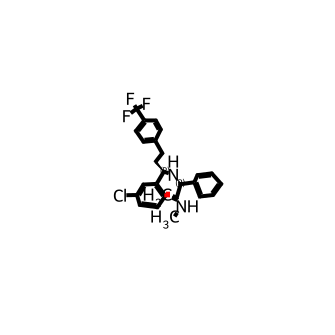 C=C(NC)[C@H](N[C@H](CCc1ccc(C(F)(F)F)cc1)c1cccc(Cl)c1)c1ccccc1